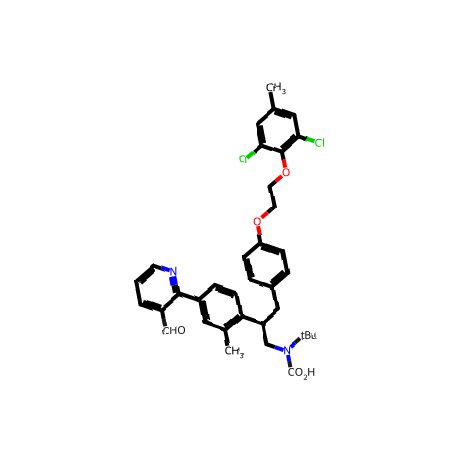 Cc1cc(Cl)c(OCCOc2ccc(CC(CN(C(=O)O)C(C)(C)C)c3ccc(-c4ncccc4C=O)cc3C)cc2)c(Cl)c1